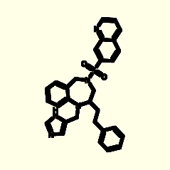 O=S(=O)(c1ccc2cccnc2c1)N1Cc2ccccc2N(Cc2cnc[nH]2)C(CCc2ccccc2)C1